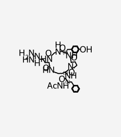 CC(=O)N[C@@H](Cc1ccccc1)C(=O)N[C@H]1CCCNC(=O)C(CCCNC(=N)N)NC(=O)CNC(=O)[C@@H](Cc2ccc(O)cc2)NC(=O)C2CCCN2C1=O